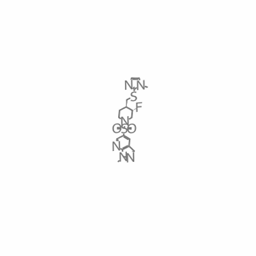 Cn1ccnc1SC[C@@H]1CCN(S(=O)(=O)c2cnc3c(cnn3C)c2)C[C@H]1F